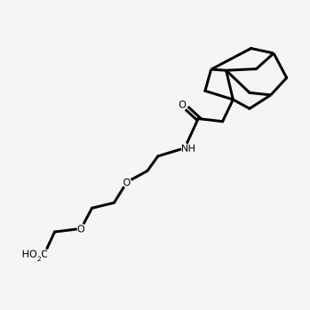 O=C(O)COCCOCCNC(=O)CC12CC3CC4CC(C1)C2(C4)C3